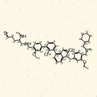 CCOc1cc(Cn2ncc3c(-c4cccc(-c5ccc(CNCC(CCC=O)NC)c(OC)c5)c4Cl)cccc32)c(Cl)cc1CN(C)CC1CCCCC1